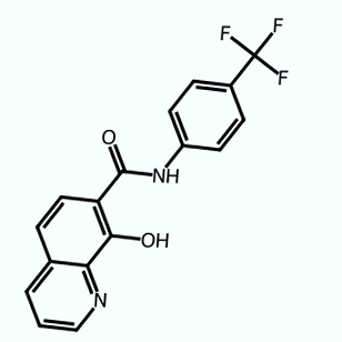 O=C(Nc1ccc(C(F)(F)F)cc1)c1ccc2cccnc2c1O